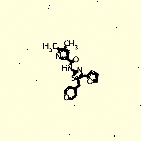 Cc1cc(C(=O)Nc2nc(-c3ccco3)c(CC3CCOCC3)s2)cnc1C